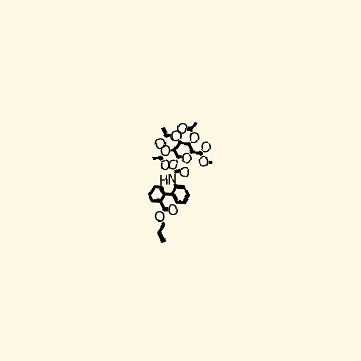 C=CCOC(=O)c1ccccc1-c1ccccc1NC(=O)OC1OC(C(=O)OC)C(OC(C)=O)C(OC(C)=O)C1OC(C)=O